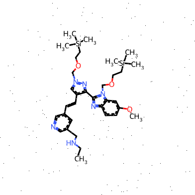 CCNCc1cncc(/C=C/c2cn(COCC[Si](C)(C)C)nc2-c2nc3ccc(OC)cc3n2COCC[Si](C)(C)C)c1